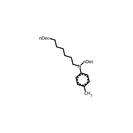 CCCCCCCCCCCCCCCCN(CCCCCCCCCC)c1ccc(C)cc1